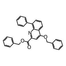 O=C(OCc1ccccc1)c1cc(OCc2ccccc2)c2cccc(-c3ccccc3)c2n1